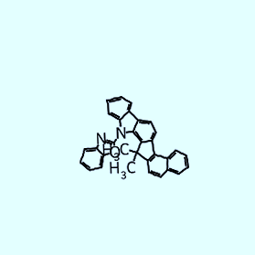 CC1(C)c2ccc3ccccc3c2-c2ccc3c4ccccc4n(-c4nc5ccccc5o4)c3c21